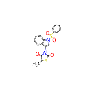 C=C1SC(=O)N(c2cn(S(=O)(=O)c3ccccc3)c3ccccc23)C1=O